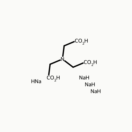 O=C(O)CN(CC(=O)O)CC(=O)O.[NaH].[NaH].[NaH].[NaH]